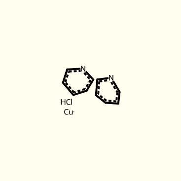 Cl.[Cu].c1ccncc1.c1ccncc1